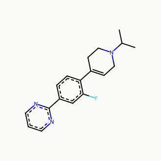 CC(C)N1CC=C(c2ccc(-c3ncccn3)cc2F)CC1